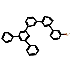 Brc1cccc(-c2cccc(-c3cccc(-c4cc(-c5ccccc5)cc(-c5ccccc5)c4)c3)c2)c1